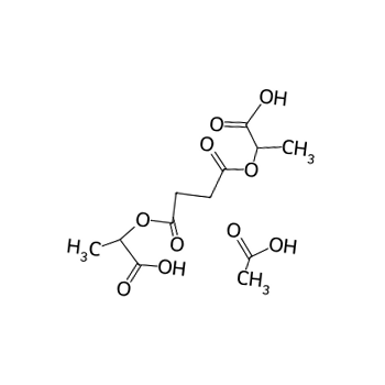 CC(=O)O.CC(OC(=O)CCC(=O)OC(C)C(=O)O)C(=O)O